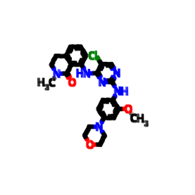 COc1cc(N2CCOCC2)ccc1Nc1ncc(Cl)c(Nc2cccc3c2C(=O)N(C)CC3)n1